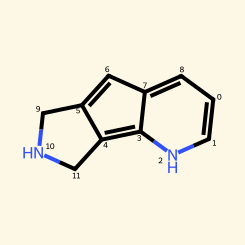 c1c[nH]c2c3c(cc-2c1)CNC3